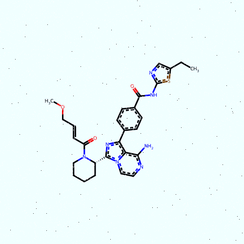 CCc1cnc(NC(=O)c2ccc(-c3nc([C@@H]4CCCCN4C(=O)C=CCOC)n4ccnc(N)c34)cc2)s1